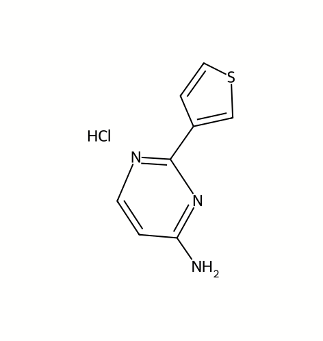 Cl.Nc1ccnc(-c2ccsc2)n1